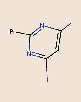 CC(C)c1nc(I)cc(I)n1